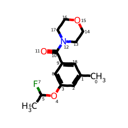 Cc1cc(OC(C)F)cc(C(=O)N2CCOCC2)c1